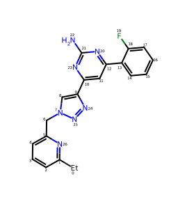 CCc1cccc(Cn2cc(-c3cc(-c4ccccc4F)nc(N)n3)nn2)n1